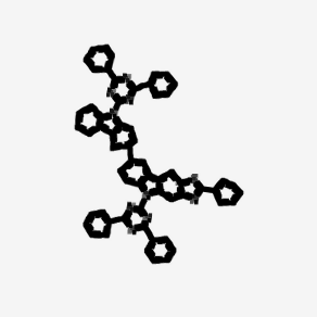 c1ccc(-c2nc(-c3ccccc3)nc(-n3c4ccccc4c4cc(-c5ccc6c(c5)c5cc7sc(-c8ccccc8)nc7cc5n6-c5nc(-c6ccccc6)nc(-c6ccccc6)n5)ccc43)n2)cc1